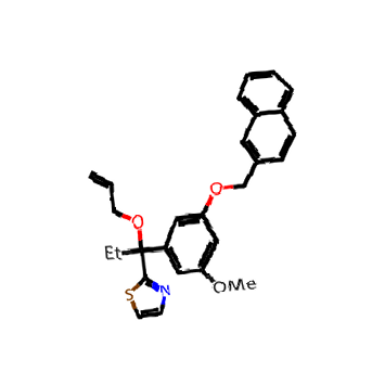 C=CCOC(CC)(c1cc(OC)cc(OCc2ccc3ccccc3c2)c1)c1nccs1